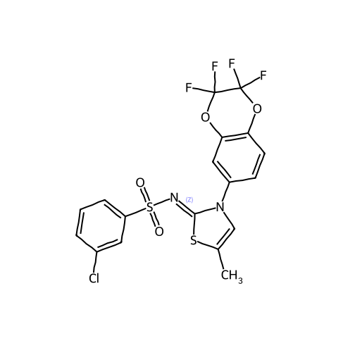 Cc1cn(-c2ccc3c(c2)OC(F)(F)C(F)(F)O3)/c(=N/S(=O)(=O)c2cccc(Cl)c2)s1